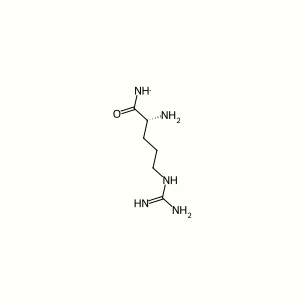 [NH]C(=O)[C@H](N)CCCNC(=N)N